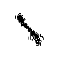 CC1(C)[C@H](NC(=O)c2ccc(N3CCC(N4CC5(CCN(c6cc7c(cc6F)C(=O)N(C6CCC(=O)NC6=O)C7=O)CC5)C4)CC3)nn2)C(C)(C)[C@@H]1Oc1ccc(C#N)c(Cl)c1